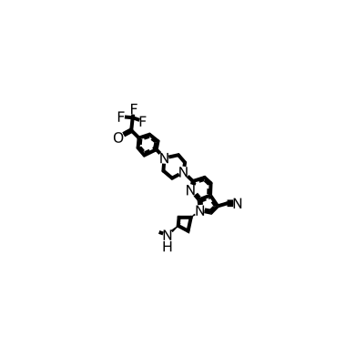 CN[C@H]1C[C@H](n2cc(C#N)c3ccc(N4CCN(c5ccc(C(=O)C(F)(F)F)cc5)CC4)nc32)C1